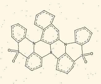 O=S1(=O)c2ccccc2N2c3cc4ccccc4c4c3B(c3cccc1c32)c1cccc2c1N4c1ccccc1S2(=O)=O